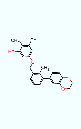 Cc1cc(OCc2cccc(-c3ccc4c(c3)OCCO4)c2C)cc(O)c1C=O